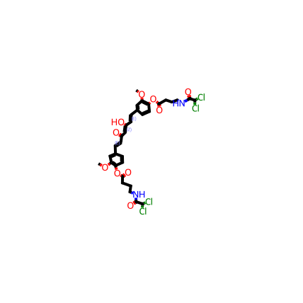 COc1cc(/C=C/C(=O)/C=C(O)/C=C/c2ccc(OC(=O)CCCNC(=O)C(Cl)Cl)c(OC)c2)ccc1OC(=O)CCCNC(=O)C(Cl)Cl